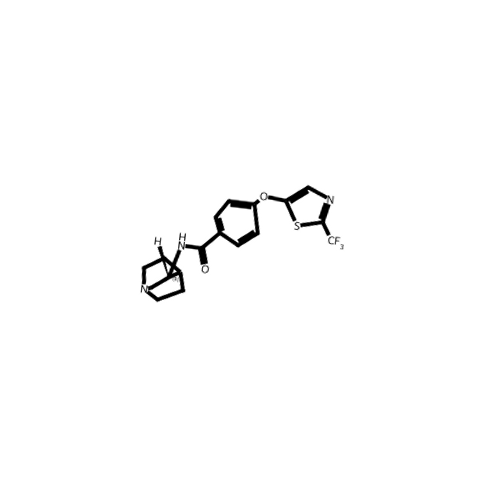 O=C(N[C@H]1CN2CCC1CC2)c1ccc(Oc2cnc(C(F)(F)F)s2)cc1